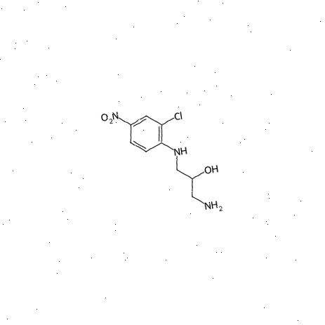 NCC(O)CNc1ccc([N+](=O)[O-])cc1Cl